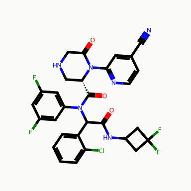 N#Cc1ccnc(N2C(=O)CNC[C@H]2C(=O)N(c2cc(F)cc(F)c2)C(C(=O)NC2CC(F)(F)C2)c2ccccc2Cl)c1